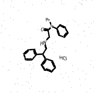 CC(C)N(C(=O)CNCC(c1ccccc1)c1ccccc1)c1ccccc1.Cl